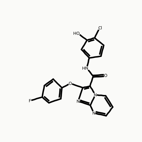 O=C(Nc1ccc(Cl)c(O)c1)c1c(Oc2ccc(F)cc2)nc2ncccn12